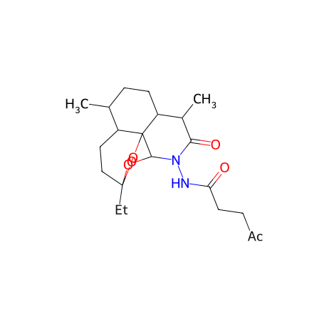 CCC12CCC3C(C)CCC4C(C)C(=O)N(NC(=O)CCC(C)=O)C(O1)C34OO2